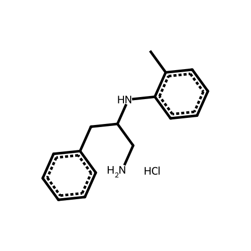 Cc1ccccc1NC(CN)Cc1ccccc1.Cl